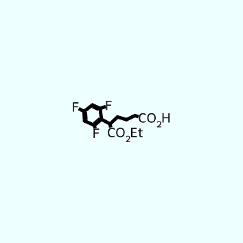 CCOC(=O)C(CCCC(=O)O)c1c(F)cc(F)cc1F